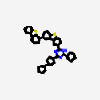 c1ccc(-c2ccc(C3=NC(c4ccccc4)NC(c4ccc5sc6ccc(-c7cccc8c7sc7ccccc78)cc6c5c4)=N3)cc2)cc1